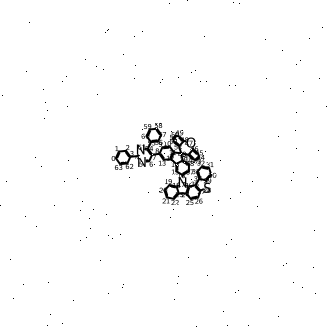 c1ccc(-c2ncc(-c3ccc4c(c3)-c3cc(-n5c6ccccc6c6ccc7sc8ccccc8c7c65)ccc3C43c4ccccc4Oc4ccccc43)c(-c3ccccc3)n2)cc1